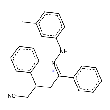 Cc1cccc(N/N=C(/CC(CC#N)c2ccccc2)c2ccccc2)c1